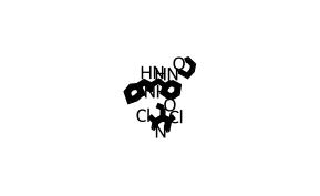 CC(Oc1ccc(NC2CCCCO2)c(C(=N)c2cc3ccccc3[nH]2)c1)c1c(Cl)cncc1Cl